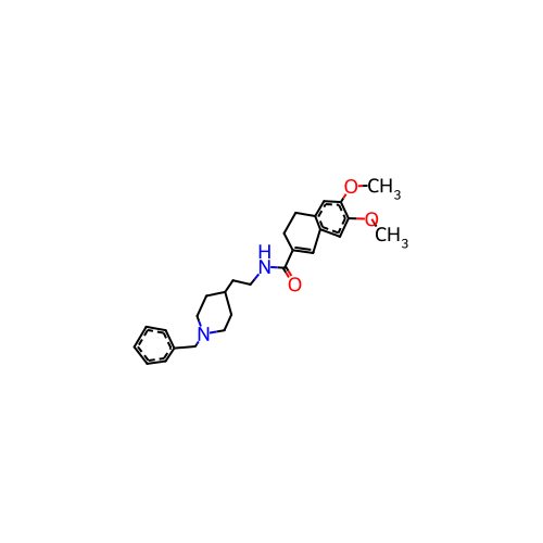 COc1cc2c(cc1OC)CCC(C(=O)NCCC1CCN(Cc3ccccc3)CC1)=C2